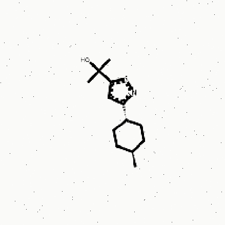 CC(C)(O)c1cc([C@H]2CC[C@H](C)CC2)ns1